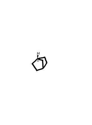 [CH]1CC2CC[C@@H]1C2